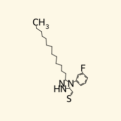 CCCCCCCCCCCCCC1=NNC(C=S)N1c1cccc(F)c1